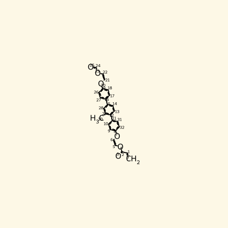 C=CC(=O)O/C=C\Oc1ccc(-c2ccc(-c3ccc(O/C=C\OC=O)cc3)cc2C)cc1